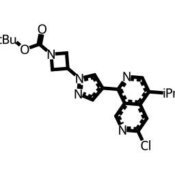 CC(C)c1cnc(-c2cnn(C3CN(C(=O)OC(C)(C)C)C3)c2)c2cnc(Cl)cc12